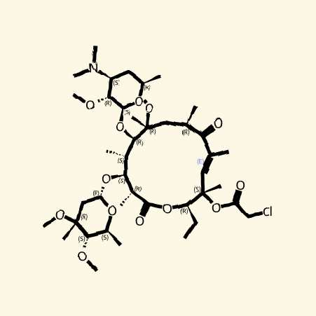 CC[C@H]1OC(=O)[C@H](C)[C@@H](O[C@H]2C[C@@](C)(OC)[C@@H](OC)[C@H](C)O2)[C@H](C)[C@@H](O[C@@H]2O[C@H](C)C[C@H](N(C)C)[C@H]2OC)[C@](C)(OC)C[C@@H](C)C(=O)/C(C)=C/[C@]1(C)OC(=O)CCl